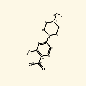 Cc1cc(N2CCN(C)CC2)ccc1C(=O)Cl